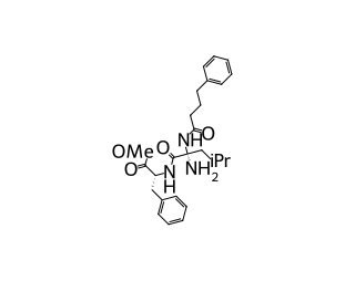 COC(=O)[C@@H](Cc1ccccc1)NC(=O)[C@](N)(CC(C)C)NC(=O)CCCc1ccccc1